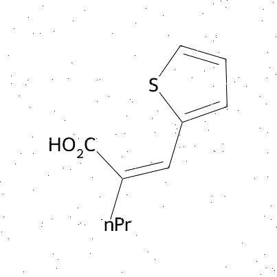 CCCC(=Cc1cccs1)C(=O)O